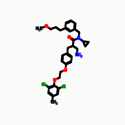 COCCCc1cccc(CN(C(=O)C(CN)Cc2ccc(OCCOc3c(Cl)cc(C)cc3Cl)cc2)C2CC2)c1